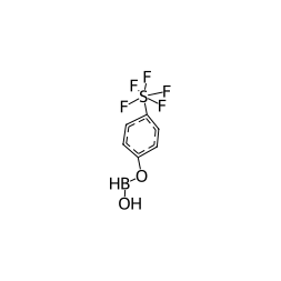 OBOc1ccc(S(F)(F)(F)(F)F)cc1